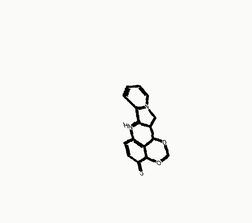 O=C1C=CC2=C3C1OCOC3C1CN3C=CC=CC3C1N2